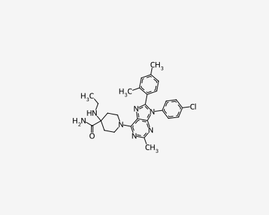 CCNC1(C(N)=O)CCN(c2nc(C)nc3c2nc(-c2ccc(C)cc2C)n3-c2ccc(Cl)cc2)CC1